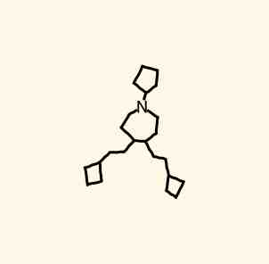 C1CC(CCC2CCN(C3CCCC3)CCC2CCC2CCC2)C1